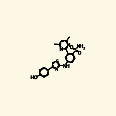 Cc1cc(C)nc(-c2cc(Nc3nc(-c4ccc(O)cc4)cs3)ccc2S(N)(=O)=O)n1